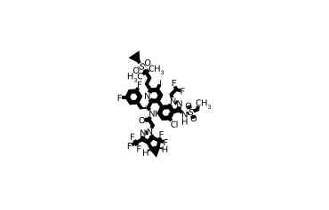 CCS(=O)(=O)Nc1nn(CC(F)F)c2c(-c3cc(I)c(CCC(C)(C)S(=O)(=O)C4CC4)nc3[C@H](Cc3cc(F)cc(F)c3)NC(=O)Cn3nc(C(F)(F)F)c4c3C(F)(F)[C@@H]3C[C@H]43)ccc(Cl)c12